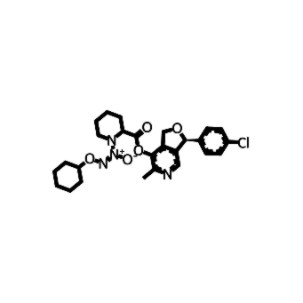 Cc1ncc2c(c1OC(=O)C1CCCCN1/[N+]([O-])=N\OC1CCCCC1)CO[C@H]2c1ccc(Cl)cc1